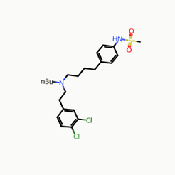 CCCCN(CCCCc1ccc(NS(C)(=O)=O)cc1)CCc1ccc(Cl)c(Cl)c1